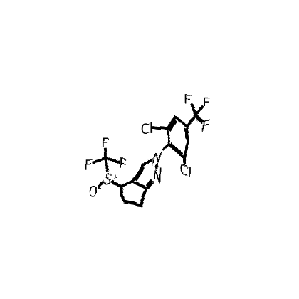 [O-][S+](C1CCc2nn(-c3c(Cl)cc(C(F)(F)F)cc3Cl)cc21)C(F)(F)F